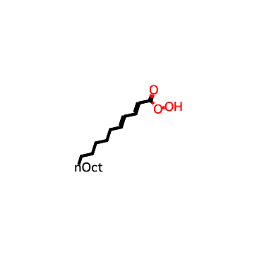 CCCCCCCCCCCCCC=CC=CC(=O)OO